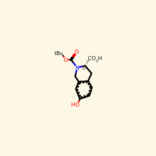 CC(C)(C)OC(=O)N1Cc2cc(O)ccc2C[C@H]1C(=O)O